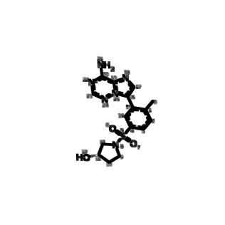 Cc1ccc(S(=O)(=O)N2CC[C@H](O)C2)cc1-c1cnc2c(N)ncnn12